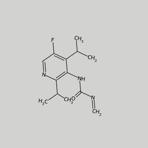 C=NC(=O)Nc1c(C(C)C)ncc(F)c1C(C)C